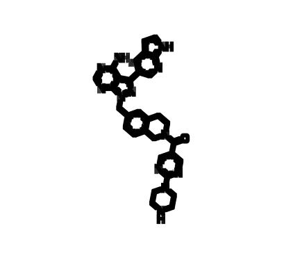 Nc1ncnc2c1c(-c1cnc3[nH]ccc3c1)nn2Cc1ccc2c(c1)CCN(C(=O)c1cnc(N3CCNCC3)nc1)C2